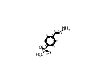 CS(=O)(=O)c1ccc(C=NN)cc1